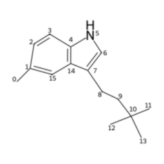 Cc1ccc2[nH]cc(CCC(C)(C)C)c2c1